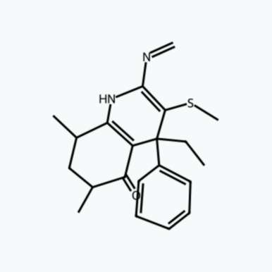 C=NC1=C(SC)C(CC)(c2ccccc2)C2=C(N1)C(C)CC(C)C2=O